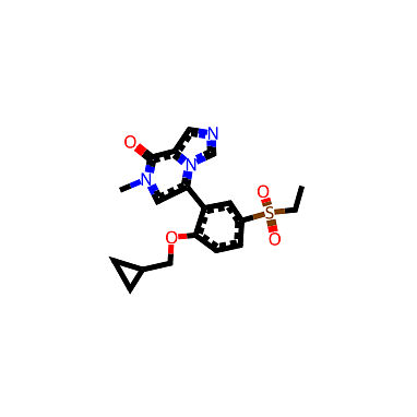 CCS(=O)(=O)c1ccc(OCC2CC2)c(-c2cn(C)c(=O)c3cncn23)c1